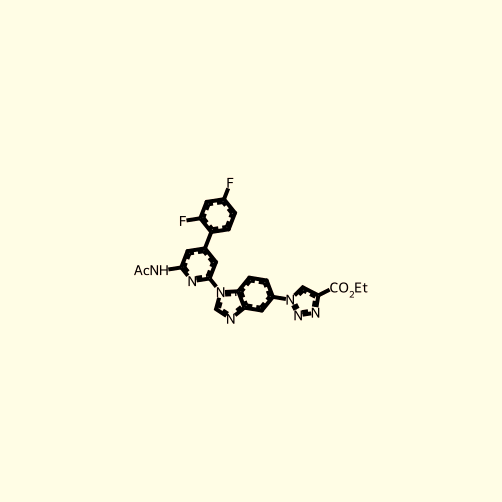 CCOC(=O)c1cn(-c2ccc3c(c2)ncn3-c2cc(-c3ccc(F)cc3F)cc(NC(C)=O)n2)nn1